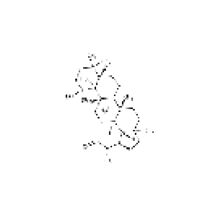 C[C@H](C=O)[C@@H]1CC[C@]2(C)CC[C@]3(C)[C@H](CC[C@@H]4[C@]5(C)[C@@H](CC[C@]43C)C(C)(C)CCC5(O)O)[C@@H]12